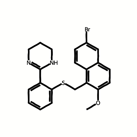 COc1ccc2cc(Br)ccc2c1CSc1ccccc1C1=NCCCN1